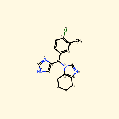 Cc1cc(C(c2c[nH]cn2)n2cnc3c2CCCC3)ccc1Cl